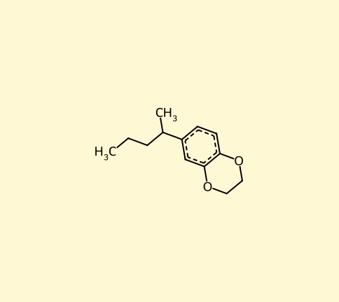 CCCC(C)c1ccc2c(c1)OCCO2